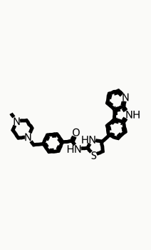 CN1CCN(Cc2ccc(C(=O)NC3NC(c4ccc5[nH]c6ncccc6c5c4)CS3)cc2)CC1